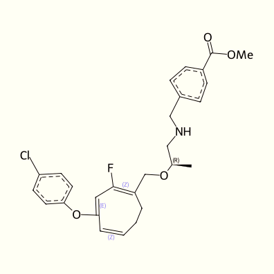 COC(=O)c1ccc(CNC[C@@H](C)OC/C2=C(F)/C=C(Oc3ccc(Cl)cc3)\C=C/CC2)cc1